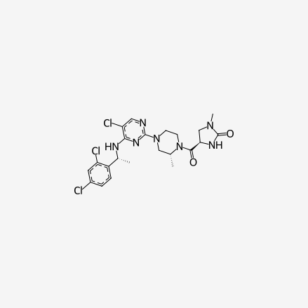 C[C@@H]1CN(c2ncc(Cl)c(N[C@H](C)c3ccc(Cl)cc3Cl)n2)CCN1C(=O)[C@H]1CN(C)C(=O)N1